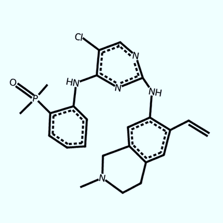 C=Cc1cc2c(cc1Nc1ncc(Cl)c(Nc3ccccc3P(C)(C)=O)n1)CN(C)CC2